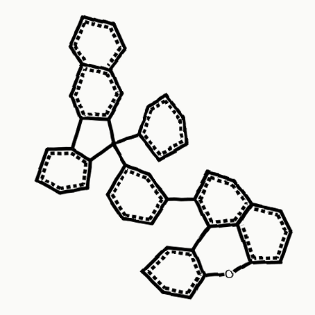 c1ccc(C2(c3cccc(-c4ccc5cccc6c5c4-c4ccccc4O6)c3)c3ccccc3-c3cc4ccccc4cc32)cc1